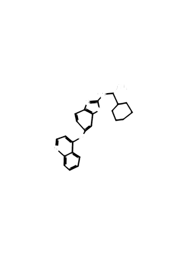 C[C@@H](Nc1nc2ccc(Oc3ccnc4ccccc34)cc2s1)C1CCCCC1